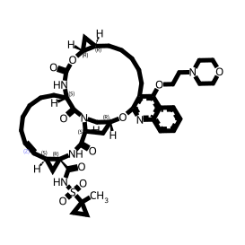 CC1(S(=O)(=O)NC(=O)[C@@]23C[C@H]2/C=C\CCCCC[C@@H]2NC(=O)O[C@@H]4C[C@H]4CCCCCc4c(nc5ccccc5c4OCCN4CCOCC4)O[C@@H]4C[C@@H](C(=O)N3)N(C4)C2=O)CC1